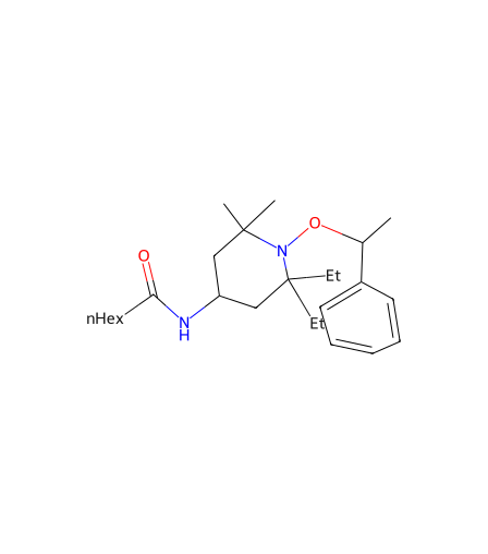 CCCCCCC(=O)NC1CC(C)(C)N(OC(C)c2ccccc2)C(CC)(CC)C1